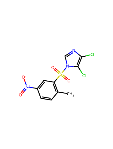 Cc1ccc([N+](=O)[O-])cc1S(=O)(=O)n1cnc(Cl)c1Cl